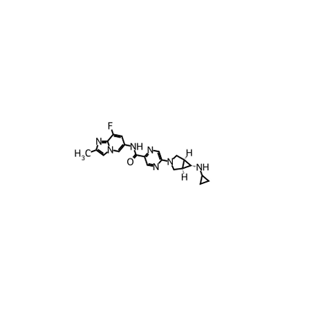 Cc1cn2cc(NC(=O)c3cnc(N4C[C@@H]5[C@H](C4)[C@H]5NC4CC4)cn3)cc(F)c2n1